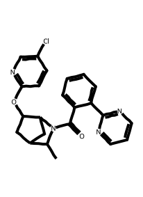 CC1C2CC(Oc3ccc(Cl)cn3)C(C2)N1C(=O)c1ccccc1-c1ncccn1